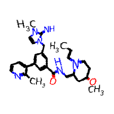 CCCN1CCC(OC)CC1CNC(=O)c1cc(Cn2ccn(C)c2=N)cc(-c2cccnc2C)c1